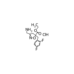 CCOC(=O)C1(Cc2ccc(F)cc2F)CC(CN)=NO1.Cl